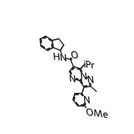 COc1cccc(-c2c(C)nn3c(C(C)C)c(C(=O)NC4CCc5ccccc54)cnc23)n1